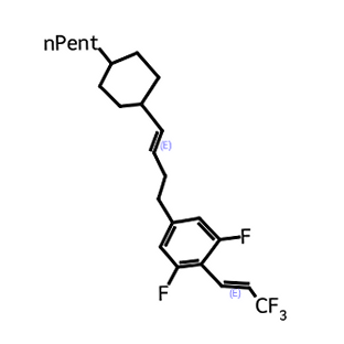 CCCCCC1CCC(/C=C/CCc2cc(F)c(/C=C/C(F)(F)F)c(F)c2)CC1